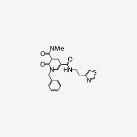 CNC(=O)c1cc(C(=O)NCCc2cscn2)cn(Cc2ccccc2)c1=O